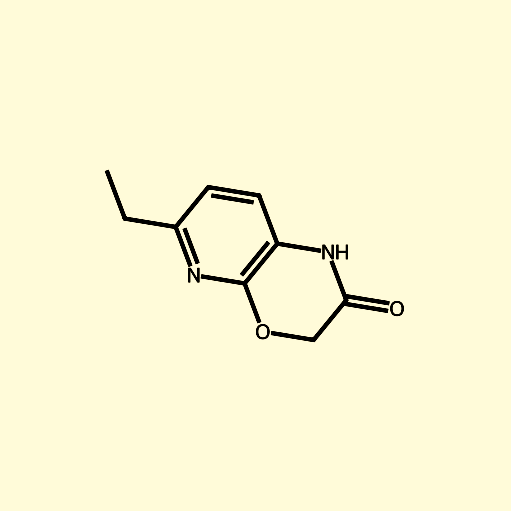 CCc1ccc2c(n1)OCC(=O)N2